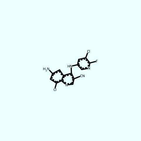 N#Cc1cnc2c(Cl)cc(N)cc2c1Nc1cnc(F)c(Cl)c1